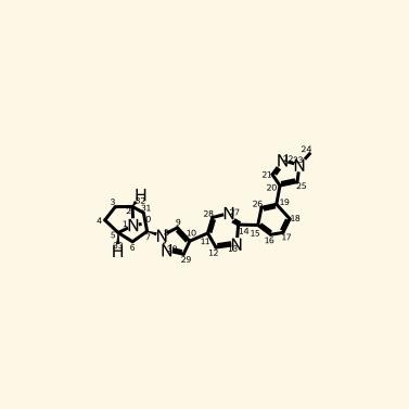 CN1[C@@H]2CC[C@H]1C[C@H](n1cc(-c3cnc(-c4cccc(-c5cnn(C)c5)c4)nc3)cn1)C2